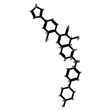 CCn1c(=O)c(-c2ccc(-c3ccoc3)cc2Cl)cc2cnc(Nc3ccc(N4CCN(C)CC4)cc3)nc21